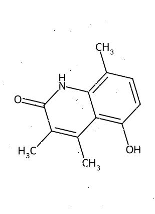 Cc1c(C)c2c(O)ccc(C)c2[nH]c1=O